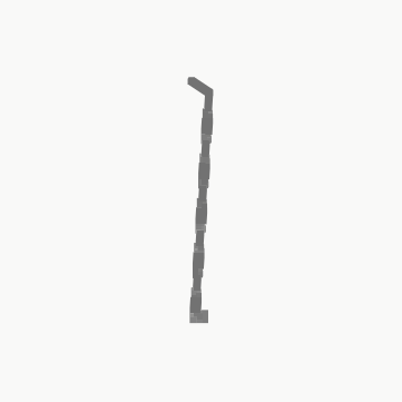 B=BB=BB=BB=BB=BCC